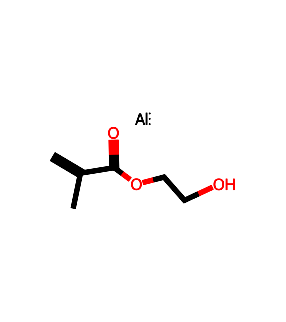 C=C(C)C(=O)OCCO.[Al]